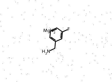 NCc1c[c]cc(F)c1.[MgH2]